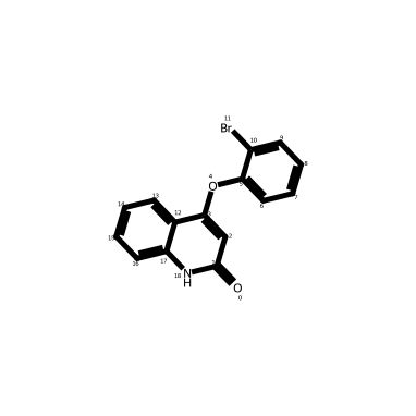 O=c1cc(Oc2ccccc2Br)c2ccccc2[nH]1